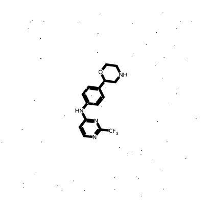 FC(F)(F)c1nccc(Nc2ccc(C3CNCCO3)cc2)n1